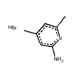 Br.Cc1cc(C)nc(N)c1